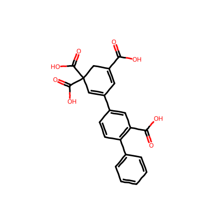 O=C(O)C1=CC(c2ccc(-c3ccccc3)c(C(=O)O)c2)=CC(C(=O)O)(C(=O)O)C1